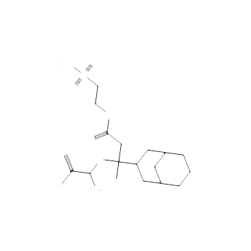 C=C(C)C(O)OC(C)(CC(=O)OCCS(=O)(=O)O)C1CC2CCCC(C2)C1